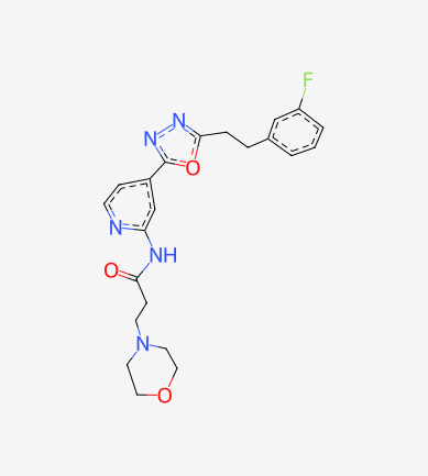 O=C(CCN1CCOCC1)Nc1cc(-c2nnc(CCc3cccc(F)c3)o2)ccn1